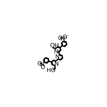 O=[N+]([O-])c1cccc(-c2cc(CO)nc(-c3cccc(-c4cc(-c5cccc([N+](=O)[O-])c5)cc(CO)n4)n3)c2)c1